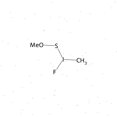 COSI(C)F